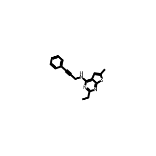 CCc1nc(NCC#Cc2ccccc2)c2cc(C)sc2n1